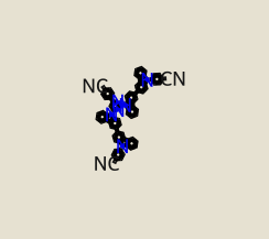 N#Cc1ccc(-c2cc(-n3c4ccccc4c4cc(-c5ccc6c(c5)c5ccccc5n6-c5ccc(C#N)cc5)ccc43)nc(-n3c4ccccc4c4cc(-c5ccc6c(c5)c5ccccc5n6-c5ccc(C#N)cc5)ccc43)n2)cc1